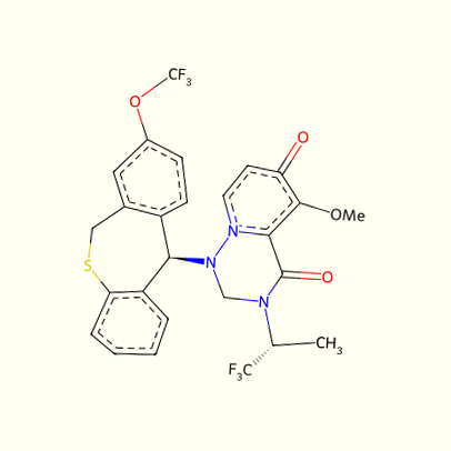 COc1c2n(ccc1=O)N([C@@H]1c3ccc(OC(F)(F)F)cc3CSc3ccccc31)CN([C@H](C)C(F)(F)F)C2=O